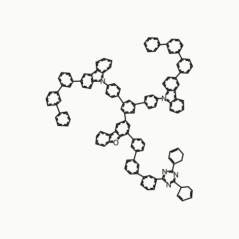 C1=CCCC(c2nc(-c3cccc(-c4cccc(-c5cccc(-c6cc(-c7cc(-c8ccc(-n9c%10ccccc%10c%10cc(-c%11cccc(-c%12cccc(-c%13ccccc%13)c%12)c%11)ccc%109)cc8)cc(-c8ccc(-n9c%10ccccc%10c%10cc(-c%11cccc(-c%12cccc(-c%13ccccc%13)c%12)c%11)ccc%109)cc8)c7)cc7c6oc6ccccc67)c5)c4)c3)nc(C3C=CC=CC3)n2)=C1